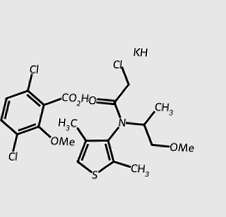 COCC(C)N(C(=O)CCl)c1c(C)csc1C.COc1c(Cl)ccc(Cl)c1C(=O)O.[KH]